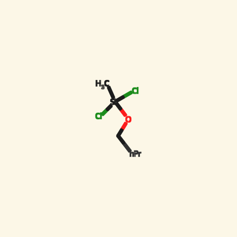 CCCCO[Si](C)(Cl)Cl